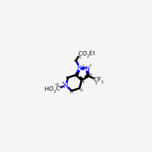 CCOC(=O)Cn1nc(C(F)(F)F)c2c1CN(C(=O)O)CC2